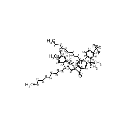 CCCCCCCCCCN1/C(=C\C2=C(O)C(=C\C3=[N+](CCCCCCCCCC)c4cc(C)c(C)cc4C3(C)C)/C2=O)C(C)(C)c2cc(C(F)(F)F)ccc21